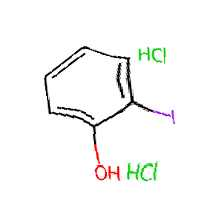 Cl.Cl.Oc1ccccc1I